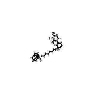 CN(CCCCCCCNc1cccc(N2CCC(=O)NC2=O)c1)C12CC3CC(CC(C3)C1)C2